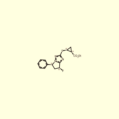 CCOC(=O)[C@@H]1C[C@@H]1Sc1nc2n(n1)[C@H](c1ccccc1)C[C@@H]2F